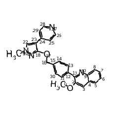 COc1cc2ccccc2nc1-c1ccc(COc2nn(C)cc2-c2ccncc2)cc1